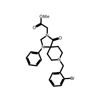 COC(=O)CN1CN(c2ccccc2)C2(CCN(Cc3ccccc3Br)CC2)C1=O